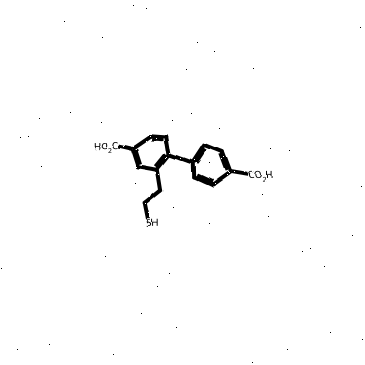 O=C(O)c1ccc(-c2ccc(C(=O)O)cc2CCS)cc1